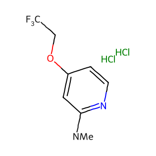 CNc1cc(OCC(F)(F)F)ccn1.Cl.Cl